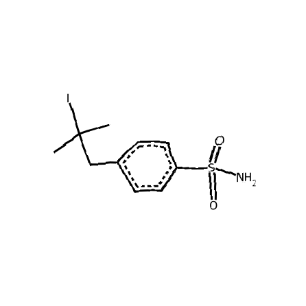 CC(C)(I)Cc1ccc(S(N)(=O)=O)cc1